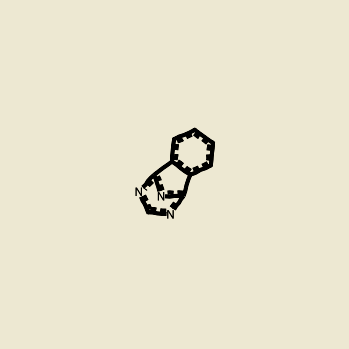 c1ccc2c(c1)-c1ncnc-2n1